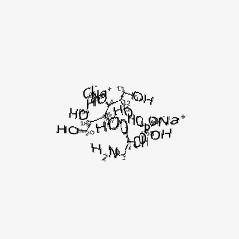 NCC(=O)O.O=P([O-])(O)O.OCC(O)C(O)C(O)C(O)CO.[Cl-].[Na+].[Na+]